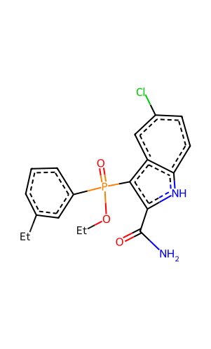 CCOP(=O)(c1cccc(CC)c1)c1c(C(N)=O)[nH]c2ccc(Cl)cc12